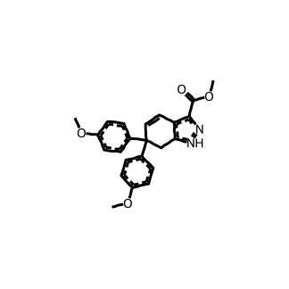 COC(=O)c1n[nH]c2c1C=CC(c1ccc(OC)cc1)(c1ccc(OC)cc1)C2